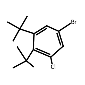 CC(C)(C)c1cc(Br)cc(Cl)c1C(C)(C)C